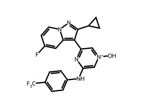 O[n+]1cc(Nc2ccc(C(F)(F)F)cc2)nc(-c2c(C3CC3)nn3ccc(F)cc23)c1